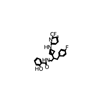 O=C(NCC(Cc1ccc(F)cc1)C12CC(Nc3cccc(C(F)(F)F)n3)(C1)C2)c1ccccc1O